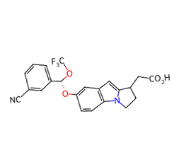 N#Cc1cccc([C@@H](Oc2ccc3c(c2)cc2n3CCC2CC(=O)O)OC(F)(F)F)c1